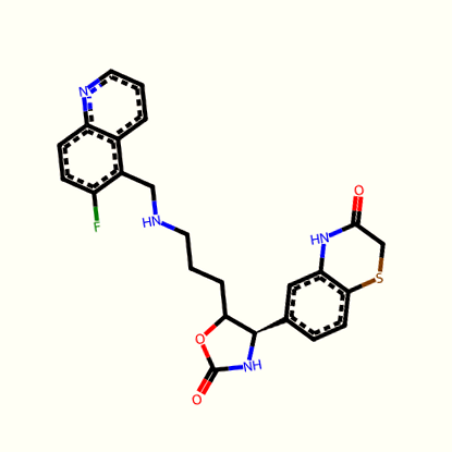 O=C1CSc2ccc([C@H]3NC(=O)OC3CCCNCc3c(F)ccc4ncccc34)cc2N1